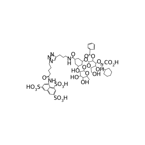 CC1CC(C(=O)NCCCc2cn(CCCCC(=O)Nc3cc(S(=O)(=O)O)cc4cc(S(=O)(=O)O)cc(S(=O)(=O)O)c34)nn2)CC(OC2OC(CO)C(O)C(O[C@@H](CC3CCCCC3)C(=O)O)C2OC(=O)c2ccccc2)C1OC1OC(C)C(O)C(O)C1O